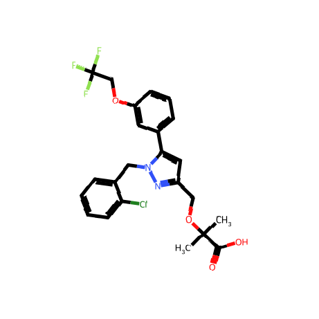 CC(C)(OCc1cc(-c2cccc(OCC(F)(F)F)c2)n(Cc2ccccc2Cl)n1)C(=O)O